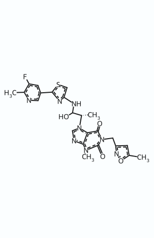 Cc1cc(Cn2c(=O)c3c(ncn3[C@@H](C)C(O)Nc3csc(-c4cnc(C)c(F)c4)n3)n(C)c2=O)no1